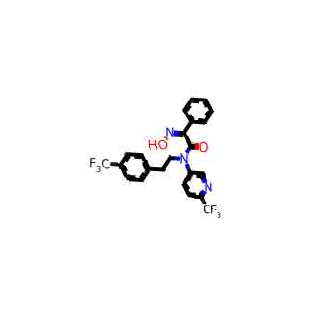 O=C(C(=NO)c1ccccc1)N(CCc1ccc(C(F)(F)F)cc1)c1ccc(C(F)(F)F)nc1